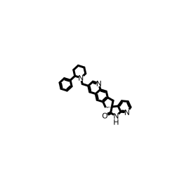 O=C1Nc2ncccc2[C@@]12Cc1cc3cc(CN4CCCCC4c4ccccc4)cnc3cc1C2